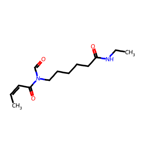 C/C=C\C(=O)N(C=O)CCCCCC(=O)NCC